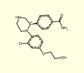 NC(=O)c1ccc([C@@H]2CNCCN2c2ccc(OCCO)cc2Cl)cc1